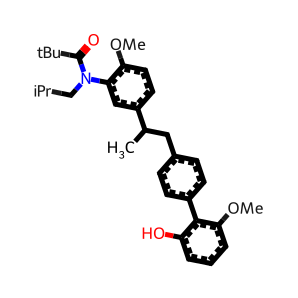 COc1ccc(C(C)Cc2ccc(-c3c(O)cccc3OC)cc2)cc1N(CC(C)C)C(=O)C(C)(C)C